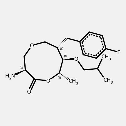 CC(C)CO[C@@H]1[C@@H](Cc2ccc(F)cc2)COC[C@H](N)C(=O)O[C@H]1C